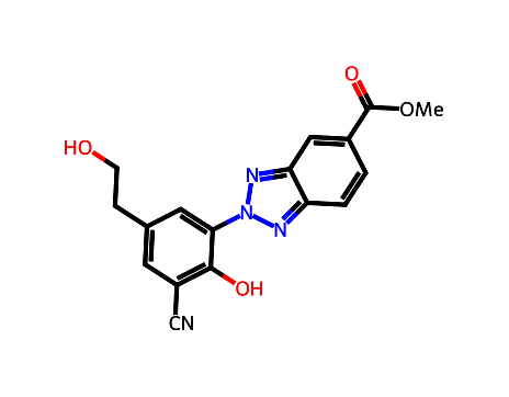 COC(=O)c1ccc2nn(-c3cc(CCO)cc(C#N)c3O)nc2c1